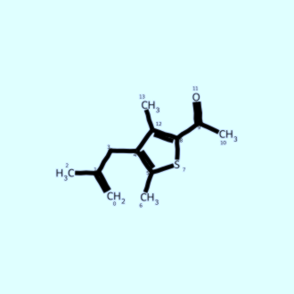 C=C(C)Cc1c(C)sc(C(C)=O)c1C